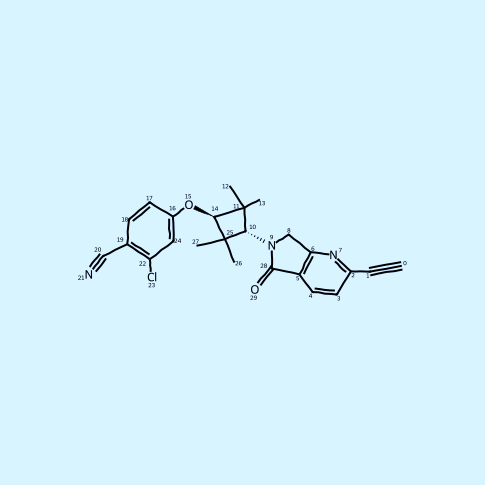 C#Cc1ccc2c(n1)CN([C@H]1C(C)(C)[C@H](Oc3ccc(C#N)c(Cl)c3)C1(C)C)C2=O